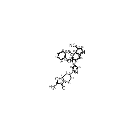 C[C@@H](O)C(=O)N1CCC(n2cc(-c3cc(Sc4ccccc4C#N)c4c(C#N)cnn4c3)cn2)CC1